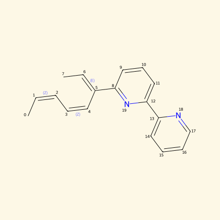 C\C=C/C=C\C(=C/C)c1cccc(-c2ccccn2)n1